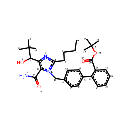 CCCCc1nc(C(O)C(C)(C)C)c(C(N)=O)n1Cc1ccc(-c2ccccc2C(=O)OC(C)(C)C)cc1